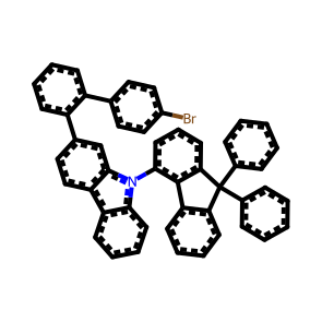 Brc1ccc(-c2ccccc2-c2ccc3c4ccccc4n(-c4cccc5c4-c4ccccc4C5(c4ccccc4)c4ccccc4)c3c2)cc1